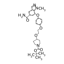 Cn1ncc2cc(C(N)=O)cc(Oc3ccc(OCCOC4CCN(C(=O)OC(C)(C)C)CC4)cc3)c21